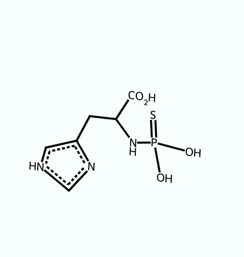 O=C(O)C(Cc1c[nH]cn1)NP(O)(O)=S